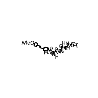 COc1ccc(/C=C/c2ccc(C(=O)Nc3cc(C(=O)Nc4cc(C(=O)NCCC(=N)NC(C)C)n(C)c4)n(C)c3)cc2)cc1